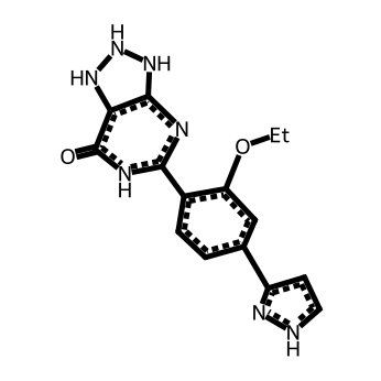 CCOc1cc(-c2cc[nH]n2)ccc1-c1nc2c(c(=O)[nH]1)NNN2